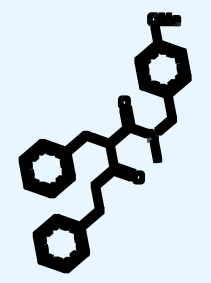 COc1ccc(CN(C)C(=O)C(Cc2ccccc2)C(=O)CCc2ccccc2)cc1